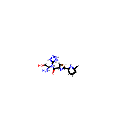 Cc1cccc(-c2nc(C(=O)N(c3nnn[nH]3)C(N)CO)cs2)n1